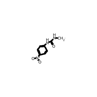 [CH2]NC(=O)Nc1ccc([N+](=O)[O-])cc1